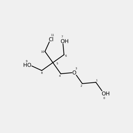 OCCOCC(CO)(CO)CCl